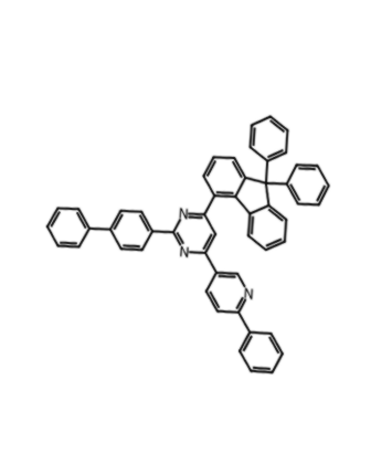 c1ccc(-c2ccc(-c3nc(-c4ccc(-c5ccccc5)nc4)cc(-c4cccc5c4-c4ccccc4C5(c4ccccc4)c4ccccc4)n3)cc2)cc1